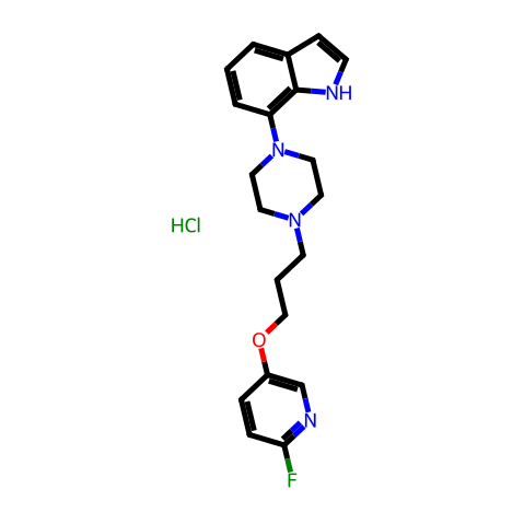 Cl.Fc1ccc(OCCCN2CCN(c3cccc4cc[nH]c34)CC2)cn1